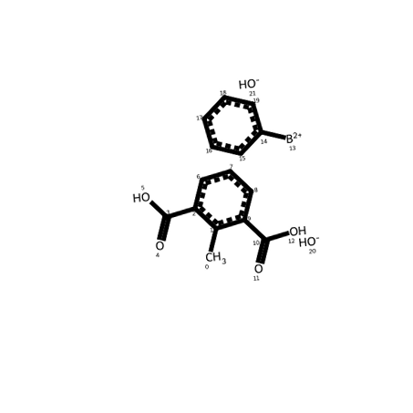 Cc1c(C(=O)O)cccc1C(=O)O.[B+2]c1ccccc1.[OH-].[OH-]